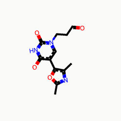 Cc1nc(C)c(-c2cn(CCC=O)c(=O)[nH]c2=O)o1